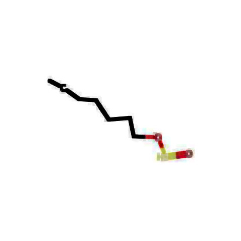 CCCCCCCO[SH]=O